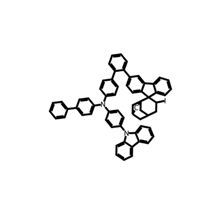 IC1CC2CC3CC(C2)(C3)C12c1ccccc1-c1cc(-c3ccccc3-c3ccc(N(c4ccc(-c5ccccc5)cc4)c4ccc(-n5c6ccccc6c6ccccc65)cc4)cc3)ccc12